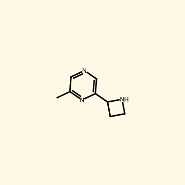 Cc1cncc(C2CCN2)n1